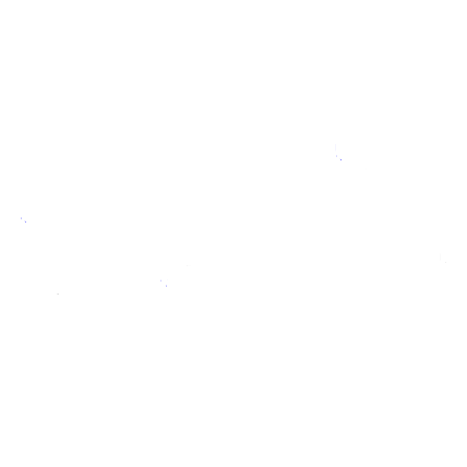 CCOc1cc(-c2ccc(CC(=O)Nc3ccc(C#N)c(C(F)(F)F)c3)c(F)c2)c[nH]c1=O